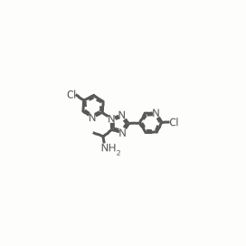 CC(N)c1nc(-c2ccc(Cl)nc2)nn1-c1ccc(Cl)cn1